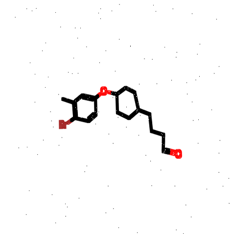 Cc1cc(OC2CCC(CCCC=O)CC2)ccc1Br